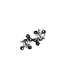 C1=CC2=C(CC1)N(C1C=CNC(C3=NC(c4ccccc4)=NC(c4ccccc4)N3)N1)C1=CC=C(c3ccc4c(c3)c3ccccc3n4C3C=CNC(C4NC(c5ccccc5)NC(c5ccccc5)N4)N3)CC12